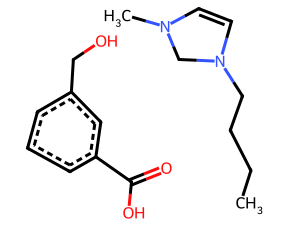 CCCCN1C=CN(C)C1.O=C(O)c1cccc(CO)c1